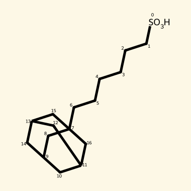 O=S(=O)(O)CCCCCCC12CC3CC(CC(C3)C1)C2